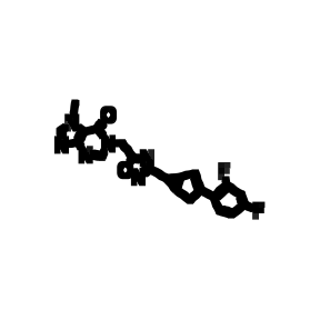 Cn1cnc2ncn(Cc3nc(C4C5C=C(c6ccc(F)cc6F)CC54)no3)c(=O)c21